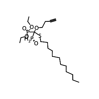 C#CCCOC([PH2]=O)(SCCCCCCCCCCCC)P(=O)(OCC)OCC